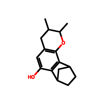 CC1Cc2cc(O)c3c(c2OC1C)C1CCC3C1